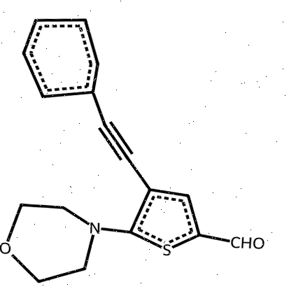 O=Cc1cc(C#Cc2ccccc2)c(N2CCOCC2)s1